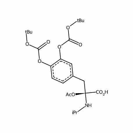 CC(=O)O[C@](Cc1ccc(OC(=O)OC(C)(C)C)c(OC(=O)OC(C)(C)C)c1)(NC(C)C)C(=O)O